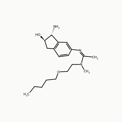 CCCCCOCCN(C)C(C)=Nc1ccc2c(c1)[C@@H](N)[C@H](O)C2